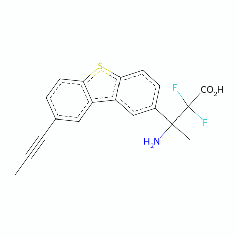 CC#Cc1ccc2sc3ccc(C(C)(N)C(F)(F)C(=O)O)cc3c2c1